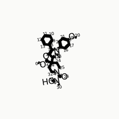 COC(=O)C1(c2cc(-c3ccccc3)n(-c3ccc(OC)cc3)n2)CCN(C(=O)N(C)O)CC1